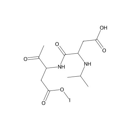 CC(=O)C(CC(=O)OI)NC(=O)C(CC(=O)O)NC(C)C